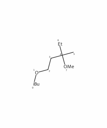 CCC(C)OCCC(C)(CC)OC